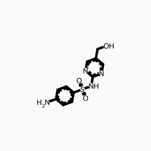 Nc1ccc(S(=O)(=O)Nc2ncc(CO)cn2)cc1